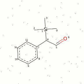 C[Si](C)(C)C(C=O)c1ccccc1